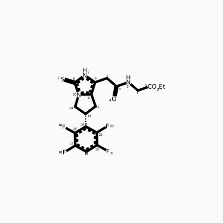 CCOC(=O)CNC(=O)Cc1[nH]c(=S)n2c1C[C@H](c1c(F)c(F)cc(F)c1F)C2